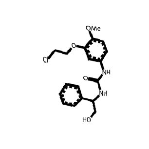 COc1ccc(NC(=O)NC(CO)c2ccccc2)cc1OCCCl